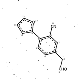 N#Cc1cc(CC=O)ccc1-c1ccco1